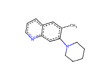 Cc1cc2cccnc2cc1N1CCCCC1